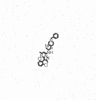 Cc1cc(NC(CN)CC2CCN(Cc3ccccc3)CC2)n2nc(C)c(-c3c(Cl)cccc3Cl)c2n1